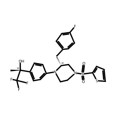 C[C@@](O)(c1ccc(N2CCN(S(=O)(=O)c3cccs3)C[C@H]2Cc2ccc(F)cc2)cc1)C(F)(F)F